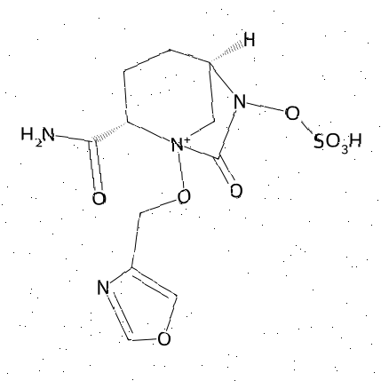 NC(=O)[C@@H]1CC[C@@H]2C[N+]1(OCc1cocn1)C(=O)N2OS(=O)(=O)O